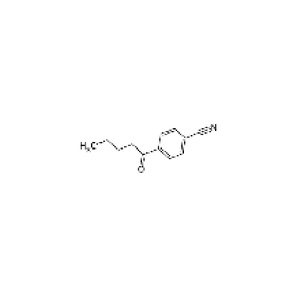 CCCCC(=O)c1ccc(C#N)cc1